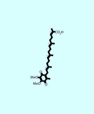 COC1=C(OC)C(=O)C(C/C=C(\C)CC/C=C(\C)CC/C=C(\C)CC/C=C(/C)C(=O)O)=C(C)C1=O